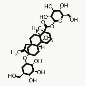 C=C1C[C@@]23CC[C@H]4[C@@](C)(CCC[C@@]4(C)C(=O)O[C@@H]4O[C@H](CO)[C@@H](O)[C@H](O)[C@H]4O)[C@@H]2CC[C@]1(O[C@@H]1C[C@H](CO)[C@@H](O)[C@H](O)[C@H]1O)C3